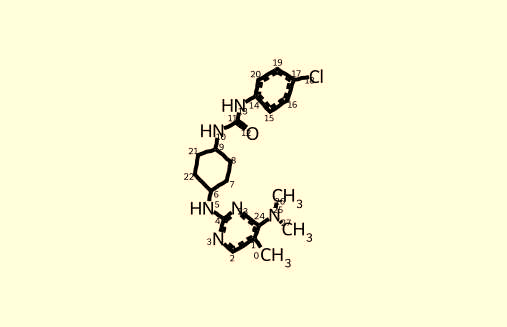 Cc1cnc(NC2CCC(NC(=O)Nc3ccc(Cl)cc3)CC2)nc1N(C)C